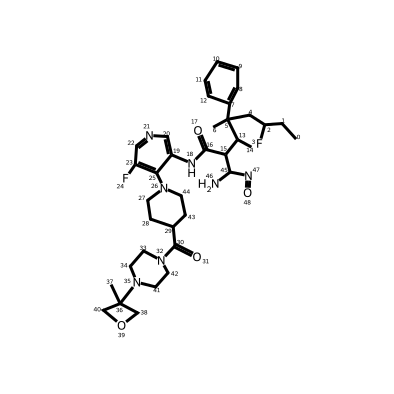 CCC(F)CC(C)(c1ccccc1)C(C)C(C(=O)Nc1cncc(F)c1N1CCC(C(=O)N2CCN(C3(C)COC3)CC2)CC1)C(N)N=O